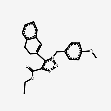 CCOC(=O)c1nnn(Cc2ccc(OC)cc2)c1C1=Cc2ccccc2CC1